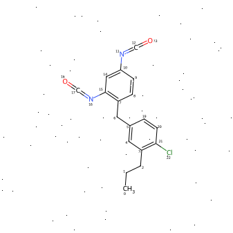 CCCc1cc(Cc2ccc(N=C=O)cc2N=C=O)ccc1Cl